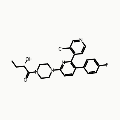 CC[C@H](O)C(=O)N1CCN(c2ccc(-c3ccc(F)cc3)c(-c3ccncc3Cl)n2)CC1